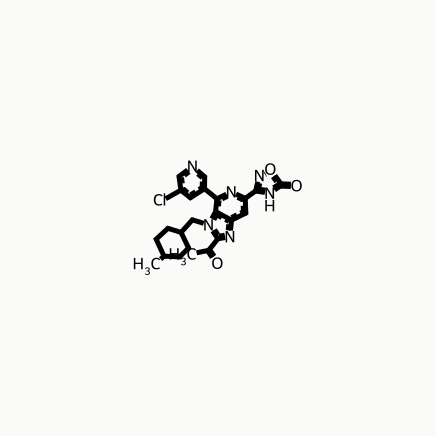 CC(=O)c1nc2cc(-c3noc(=O)[nH]3)nc(-c3cncc(Cl)c3)c2n1CC1CCC(C)CC1